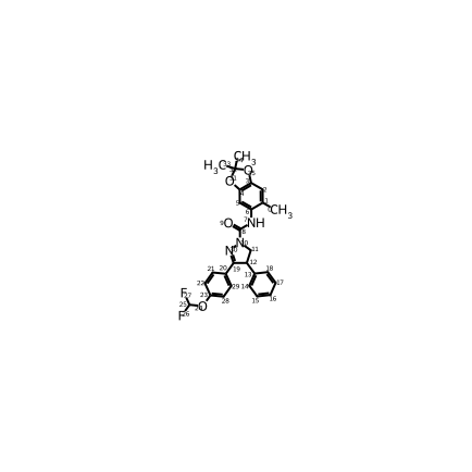 Cc1cc2c(cc1NC(=O)N1CC(c3ccccc3)C(c3ccc(OC(F)F)cc3)=N1)OC(C)(C)O2